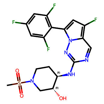 CS(=O)(=O)N1CC[C@@H](Nc2ncc3c(F)cc(-c4c(F)cc(F)cc4F)n3n2)[C@H](O)C1